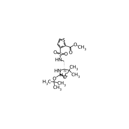 COC(=O)c1sccc1S(=O)(=O)NC[C@@H](NC(=O)OC(C)(C)C)C(C)(C)C